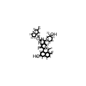 CCc1c(F)ccc2cc(O)cc(-c3ncc4c(N5CCC[C@@](C)(O)C5)nc(OC[C@]56CCCN5C[C@H](F)C6)nc4c3F)c12